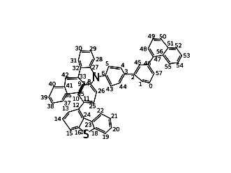 c1cc(-c2ccc(N(c3ccc(-c4cccc5sc6ccccc6c45)cc3)c3ccccc3-c3ccc4ccccc4c3)cc2)cc(-c2cccc3ccccc23)c1